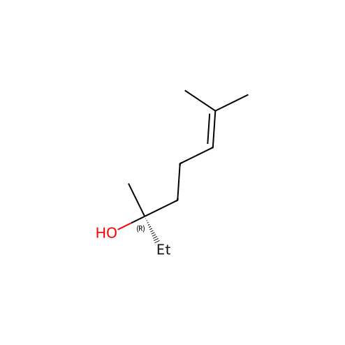 CC[C@@](C)(O)CCC=C(C)C